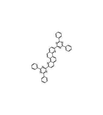 c1ccc(-c2nc(-c3ccccc3)nc(-c3ccc4ccc5c(ccc6ccc(-c7nc(-c8ccccc8)nc(-c8ccccc8)n7)nc65)c4n3)n2)cc1